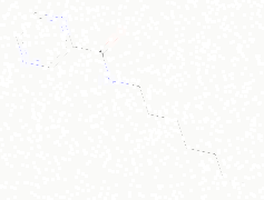 CCCCCCCCCCCCCCNC(=O)c1cnccn1